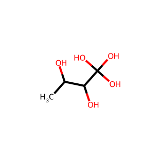 CC(O)C(O)C(O)(O)O